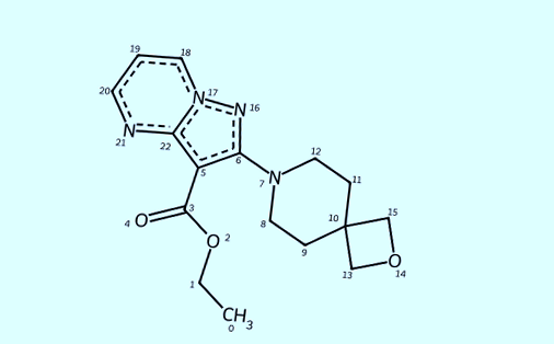 CCOC(=O)c1c(N2CCC3(CC2)COC3)nn2cccnc12